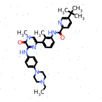 CCN1CCN(c2ccc(Nc3nc(-c4cccc(NC(=O)c5ccc(C(C)(C)C)cn5)c4C)cn(C)c3=O)cc2)CC1